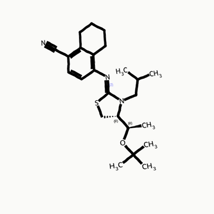 CC(C)CN1/C(=N/c2ccc(C#N)c3c2CCCC3)SC[C@H]1[C@@H](C)OC(C)(C)C